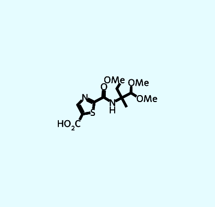 COCC(C)(NC(=O)c1ncc(C(=O)O)s1)C(OC)OC